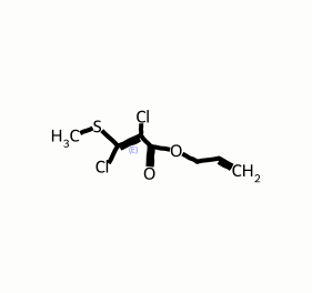 C=CCOC(=O)/C(Cl)=C(\Cl)SC